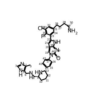 Cc1nc[nH]c1CNC[C@@H]1CCC[C@@H](c2ccc(-n3cc4cc(-c5cc(CCC[C@H](C)N)cc(Cl)c5F)[nH]c4nc3=O)cc2)N1